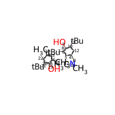 CN(C)Cc1cc(C(C)(C)C)c(O)c(C(C)(C)C)c1.Cc1cc(C)c(O)c(C(C)(C)C)c1